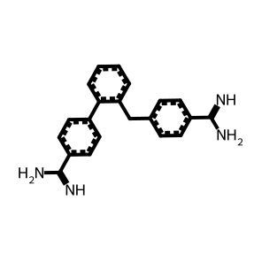 N=C(N)c1ccc(Cc2ccccc2-c2ccc(C(=N)N)cc2)cc1